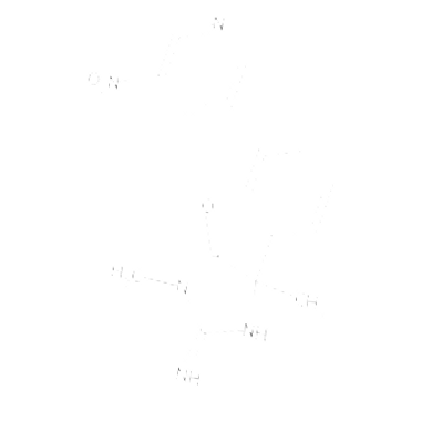 CN1C(=N)NC(C)(c2cccc(-c3cncc([N+](=O)[O-])c3)c2)C1=O